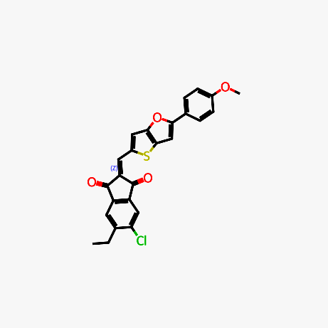 CCc1cc2c(cc1Cl)C(=O)/C(=C\c1cc3oc(-c4ccc(OC)cc4)cc3s1)C2=O